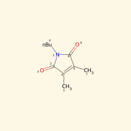 CCCCN1C(=O)C(C)=C(C)C1=O